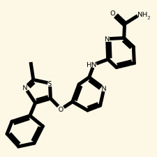 Cc1nc(-c2ccccc2)c(Oc2ccnc(Nc3cccc(C(N)=O)n3)c2)s1